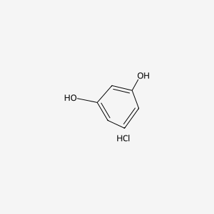 Cl.Oc1cccc(O)c1